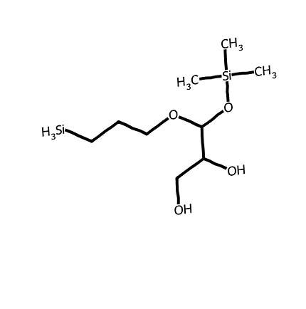 C[Si](C)(C)OC(OCCC[SiH3])C(O)CO